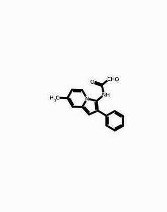 Cc1ccn2c(NC(=O)C=O)c(-c3ccccc3)cc2c1